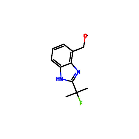 CC(C)(F)c1nc2c(C[O])cccc2[nH]1